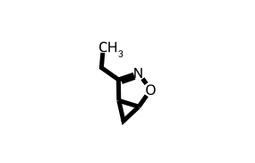 CCC1=NOC2CC12